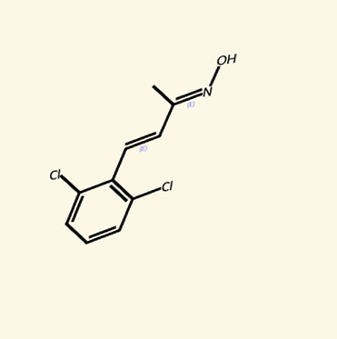 CC(/C=C/c1c(Cl)cccc1Cl)=N\O